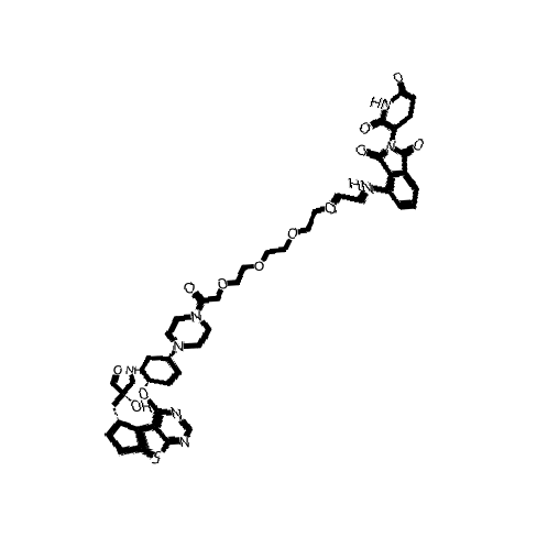 NC[C@](O)(C=O)C[C@H]1CCc2sc3ncnc(O[C@H]4CC[C@H](N5CCN(C(=O)COCCOCCOCCOCCNc6cccc7c6C(=O)N(C6CCC(=O)NC6=O)C7=O)CC5)CC4)c3c21